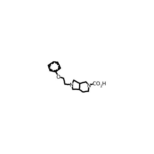 O=C(O)N1CCC2CN(CCOc3ccccc3)CC2C1